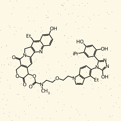 CCc1c2c(nc3ccc(O)cc13)-c1cc3c(c(=O)n1C2)COC(=O)C3OC(=O)N(C)CCOCCn1ccc2c(CC)c(-n3c(O)nnc3-c3cc(C(C)C)c(O)cc3O)ccc21